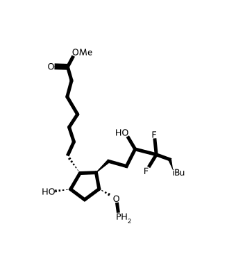 CC[C@H](C)CC(F)(F)C(O)CC[C@@H]1[C@@H](CCCCCCC(=O)OC)[C@@H](O)C[C@H]1OP